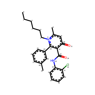 CCCCCCn1c(C)cc(=O)c(C(=O)Nc2ccccc2Cl)c1-c1cccc(C)c1